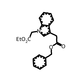 CCOC(=O)Cn1cc(CC(=O)OCc2ccccc2)c2ccccc21